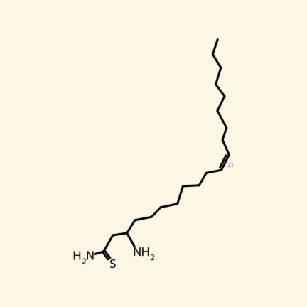 CCCCCCCC/C=C\CCCCCCCC(N)CC(N)=S